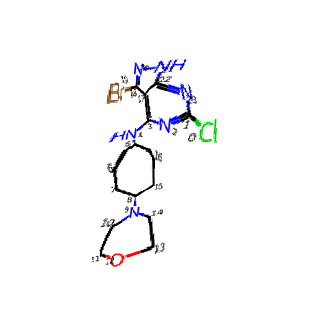 Clc1nc(N[C@H]2CC[C@H](N3CCOCC3)CC2)c2c(Br)n[nH]c2n1